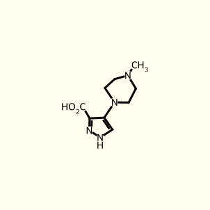 CN1CCN(c2c[nH]nc2C(=O)O)CC1